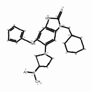 CC(=O)N(C)C1CCN(c2cc3c(cc2Nc2ccccc2)[nH]c(=O)n3CC2CCCCC2)C1